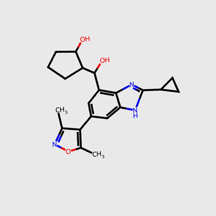 Cc1noc(C)c1-c1cc(C(O)C2CCCC2O)c2nc(C3CC3)[nH]c2c1